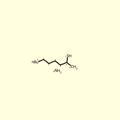 CCCCCCCCC(C)S.N